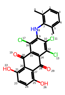 Cc1cccc(C)c1Nc1c(Cl)c(Cl)c2c(c1Cl)C(=O)c1c(O)ccc(O)c1C2=O